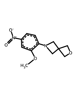 COc1cc([N+](=O)[O-])ccc1N1CC2(COC2)C1